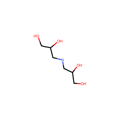 OCC(O)C[N]CC(O)CO